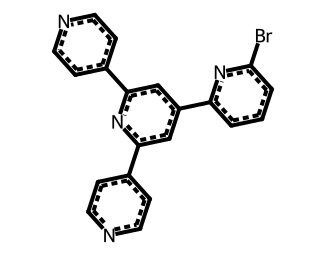 Brc1cccc(-c2cc(-c3ccncc3)nc(-c3ccncc3)c2)n1